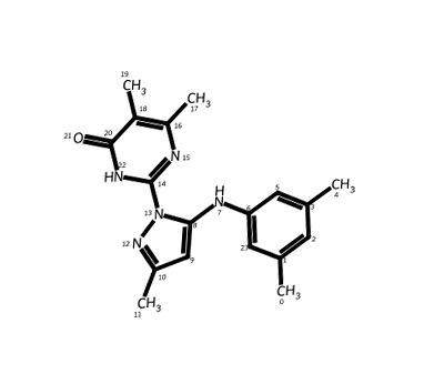 Cc1cc(C)cc(Nc2cc(C)nn2-c2nc(C)c(C)c(=O)[nH]2)c1